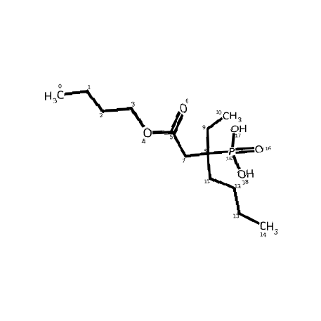 CCCCOC(=O)CC(CC)(CCCC)P(=O)(O)O